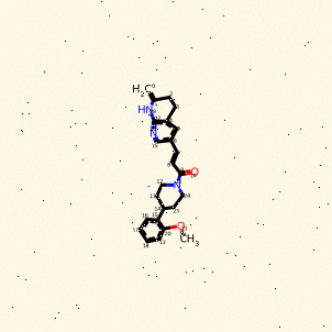 C=C1CCc2cc(/C=C/C(=O)N3CCC(c4ccccc4OC)CC3)cnc2N1